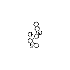 Clc1c(-c2cccc3sc4ccccc4c23)ccc2oc3cc4ccccc4cc3c12